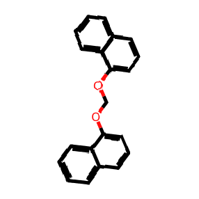 c1ccc2c(OCOc3cccc4ccccc34)cccc2c1